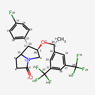 C[C@@H](O[C@H]1CN2C(=O)CCC2[C@@H]1c1ccc(F)cc1)c1cc(C(F)(F)F)cc(C(F)(F)F)c1